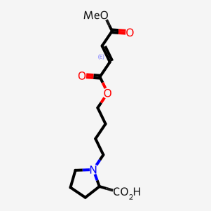 COC(=O)/C=C/C(=O)OCCCCN1CCCC1C(=O)O